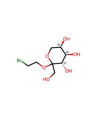 OCC1(OCCBr)OC[C@@H](O)[C@@H](O)[C@@H]1O